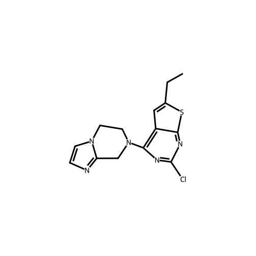 CCc1cc2c(N3CCn4ccnc4C3)nc(Cl)nc2s1